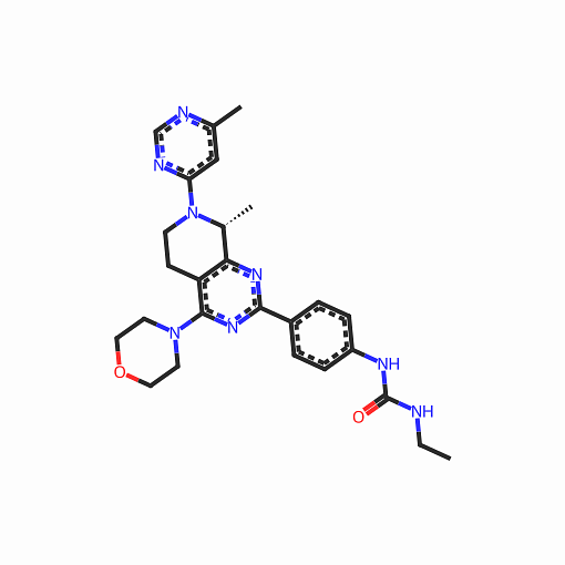 CCNC(=O)Nc1ccc(-c2nc3c(c(N4CCOCC4)n2)CCN(c2cc(C)ncn2)[C@@H]3C)cc1